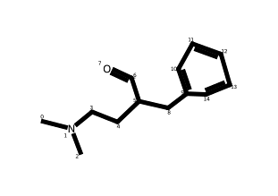 CN(C)CCC([C]=O)Cc1ccccc1